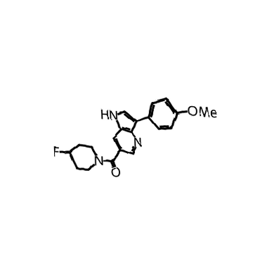 COc1ccc(-c2c[nH]c3cc(C(=O)N4CCC(F)CC4)cnc23)cc1